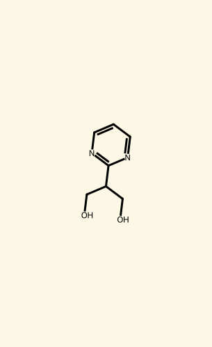 OCC(CO)c1ncccn1